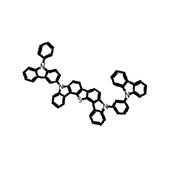 c1ccc(-n2c3ccccc3c3cc(-n4c5ccccc5c5c6sc7c(ccc8c7c7ccccc7n8-c7cccc(-n8c9ccccc9c9ccccc98)c7)c6ccc54)ccc32)cc1